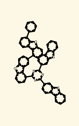 c1ccc(-c2cccc3c2oc2cccc(-c4ccc5oc6cccc(-c7nc(-c8ccc9c(c8)sc8ccccc89)nc(-c8ccc9c(c8)sc8ccccc89)n7)c6c5c4)c23)cc1